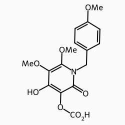 COc1ccc(Cn2c(OC)c(OC)c(O)c(OC(=O)O)c2=O)cc1